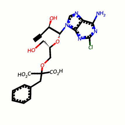 C#C[C@@H](O)[C@@H](O[C@@H](CO)COC(Cc1ccccc1)(C(=O)O)C(=O)O)n1cnc2c(N)nc(Cl)nc21